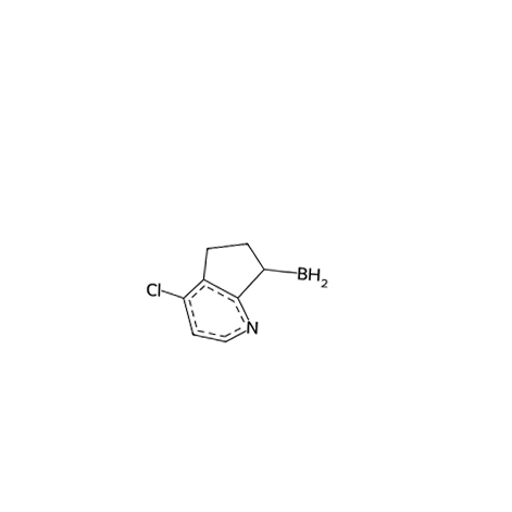 BC1CCc2c(Cl)ccnc21